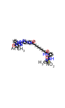 CC(=O)c1c(C)c2cnc(Nc3ccc(N4CCN(C(=O)CCCCCCCCCCCC(=O)Nc5ccccc5C(=O)Nc5nc(C)c([N+](=O)[O-])s5)CC4)cn3)nc2n(C2CCCC2)c1=O